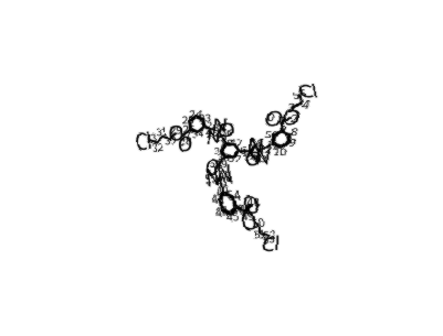 O=C(OCCCCl)c1cccc(-c2noc(-c3cc(-c4nc(-c5cccc(C(=O)OCCCCl)c5)no4)cc(-c4nc(-c5cccc(C(=O)OCCCCl)c5)no4)c3)n2)c1